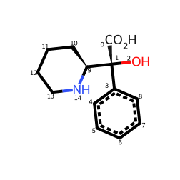 O=C(O)[C@@](O)(c1ccccc1)[C@@H]1CCCCN1